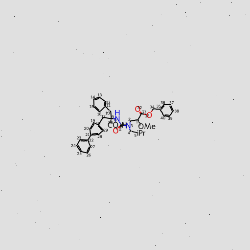 COC(CN(CC(C)C)C(=O)N[C@@](Cc1ccccc1)(Cc1ccc(-c2ccccc2)cc1)C(=O)O)C(=O)OCc1ccccc1